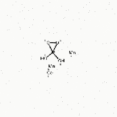 OC1(O)OO1.[Co].[Mn].[Mn]